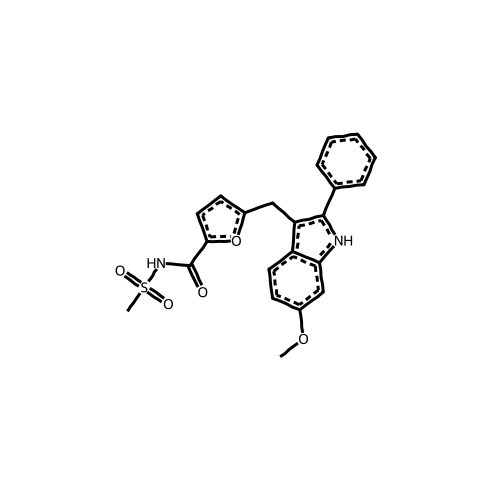 COc1ccc2c(Cc3ccc(C(=O)NS(C)(=O)=O)o3)c(-c3ccccc3)[nH]c2c1